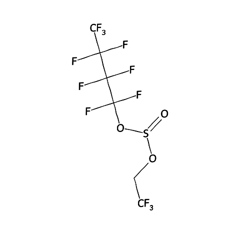 O=S(OCC(F)(F)F)OC(F)(F)C(F)(F)C(F)(F)C(F)(F)F